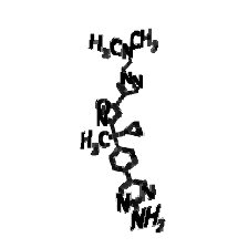 CN(C)CCn1cc(-c2cc([C@@](C)(c3ccc(-c4cnc(N)nc4)cc3)C3CC3)no2)cn1